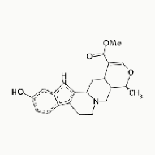 COC(=O)C1=CO[C@@H](C)C2CN3CCc4c([nH]c5cc(O)ccc45)C3CC12